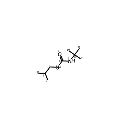 CC(C)C[N]C(=O)NC(C)(C)C